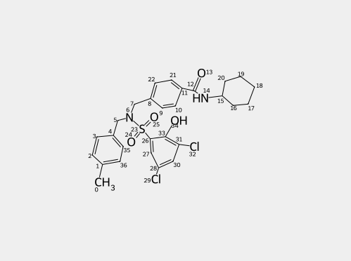 Cc1ccc(CN(Cc2ccc(C(=O)NC3CCCCC3)cc2)S(=O)(=O)c2cc(Cl)cc(Cl)c2O)cc1